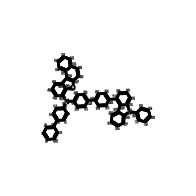 c1ccc(-c2ccc(N(c3ccc(-c4ccc(-c5cccc6c5c5ccccc5n6-c5ccccc5)cc4)cc3)c3cccc4c3oc3ccc5ccccc5c34)cc2)cc1